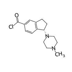 CN1CCN([C@H]2CCc3cc(C(=O)Cl)ccc32)CC1